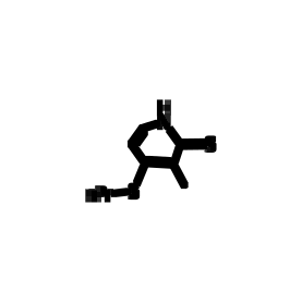 CCCSc1cc[nH]c(=S)c1C